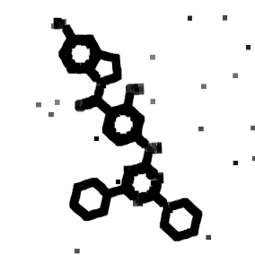 O=C(c1ccc(Nc2nc(C3CCCCC3)nc(N3CCCCC3)n2)cc1O)N1CCc2cc(Br)ccc21